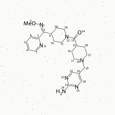 CO/N=C(\c1ccccn1)C1CCN(C(=O)C2CCN(Cc3cnc(N)nc3)CC2)CC1